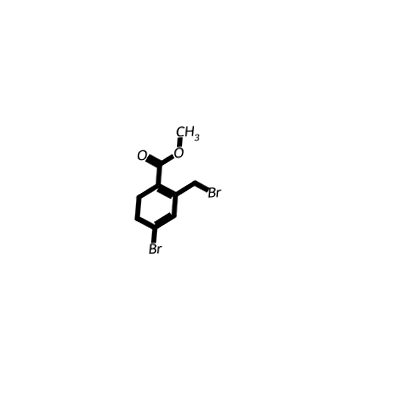 COC(=O)C1=C(CBr)C=C(Br)CC1